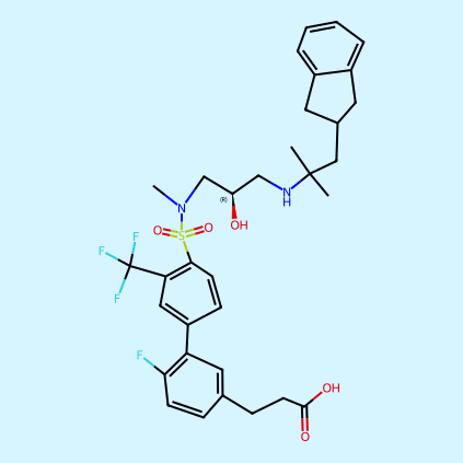 CN(C[C@H](O)CNC(C)(C)CC1Cc2ccccc2C1)S(=O)(=O)c1ccc(-c2cc(CCC(=O)O)ccc2F)cc1C(F)(F)F